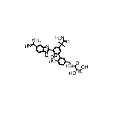 C[C@@H](O)[C@H](O)C(=O)NCc1ccc(O)c(-c2cc(C(C)(C)C(N)=O)cc(-c3nc4cc(C(=N)N)ccc4[nH]3)c2O)c1